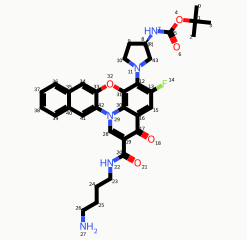 CC(C)(C)OC(=O)N[C@@H]1CCN(c2c(F)cc3c(=O)c(C(=O)NCCCCN)cn4c3c2Oc2cc3ccccc3cc2-4)C1